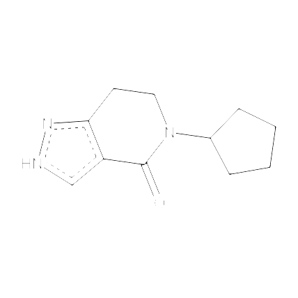 O=C1c2c[nH]nc2CCN1C1CCCC1